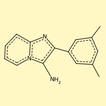 Cc1cc(C)cc(-c2nc3ccccn3c2N)c1